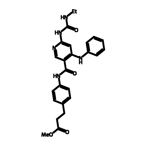 CCNC(=O)Nc1cc(Nc2ccccc2)c(C(=O)Nc2ccc(CCC(=O)OC)cc2)cn1